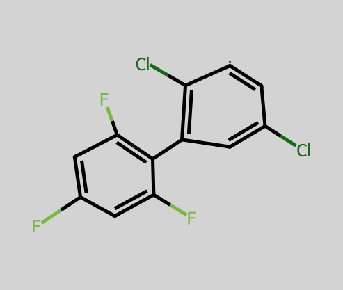 Fc1cc(F)c(-c2cc(Cl)c[c]c2Cl)c(F)c1